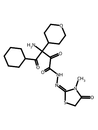 CN1C(=O)CSC1=NNC(=O)C(=O)C(N)(C(=O)C1CCCCC1)C1CCOCC1